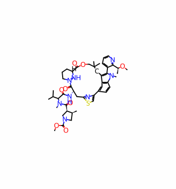 COC(=O)N1C[C@H](C)[C@H](C(=O)N(C)C(C(=O)N[C@H]2Cc3nc(cs3)-c3ccc4c(c3)c(c(-c3cccnc3[C@H](C)OC)n4C)CC(C)(C)COC(=O)[C@@H]3CCCN(N3)C2=O)C(C)C)C1